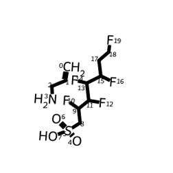 C=CCN.O=S(=O)(O)CC(F)C(F)C(F)C(F)CCF